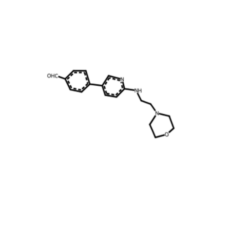 O=Cc1ccc(-c2ccc(NCCN3CCOCC3)nc2)cc1